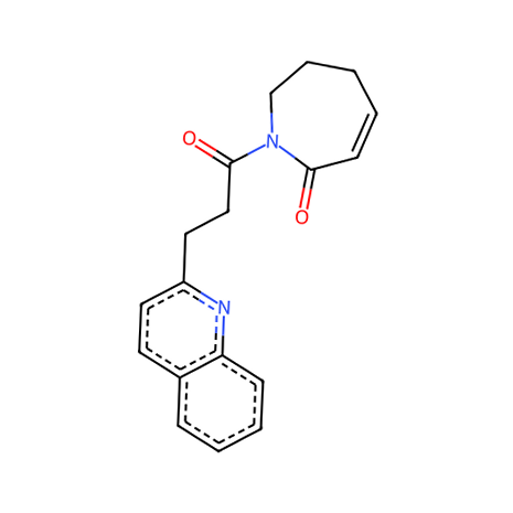 O=C1C=CCCCN1C(=O)CCc1ccc2ccccc2n1